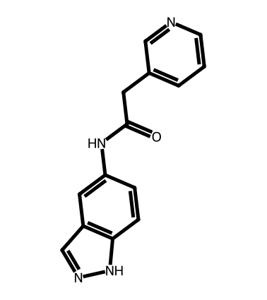 O=C(Cc1cccnc1)Nc1ccc2[nH]ncc2c1